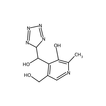 Cc1ncc(CO)c(C(O)C2N=NN=N2)c1O